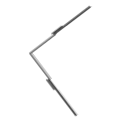 Br.Br.Br.Br.Br.Br.Br.Br.Br.Br.Br.Br.Br.Br.Br.Br.Br.Br.Br.Br.[Br-].[Br-].[Br-].[Br-].[Br-].[Br-].[Br-].[Br-].[Br-].[Br-].[Br-].[Br-].[Br-].[Br-].[Br-].[Br-].[Br-].[Br-].[Br-].[Br-].[Br-].[Br-].[Br-].[Br-].[Br-].[Br-].[Br-].[Br-].[Br-].[Br-].[Br-].[Br-].[Br-].[Br-].[Br-].[Br-].[Br-].[Br-].[Br-].[Br-].[Br-].[Br-].[Br-].[Br-].[Br-].[Br-].[Br-].[Br-].[Br-].[Br-].[Li+].[Li+].[Li+].[Li+].[Li+].[Li+].[Li+].[Li+].[Li+].[Li+].[Li+].[Li+].[Li+].[Li+].[Li+].[Li+].[Li+].[Li+].[Li+].[Li+].[Li+].[Li+].[Li+].[Li+].[Li+].[Li+].[Li+].[Li+].[Li+].[Li+].[Li+].[Li+].[Li+].[Li+].[Li+].[Li+].[Li+].[Li+].[Li+].[Li+].[Li+].[Li+].[Li+].[Li+].[Li+].[Li+].[Li+].[Li+].[Li+].[Li+]